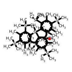 Cc1c([Si](C)(C)C)c(C)c([Si](C)(C)C)c([Si](Cl)(c2c([Si](C)(C)C)c(C)c([Si](C)(C)C)c(C)c2[Si](C)(C)C)c2c([Si](C)(C)C)c(C)c([Si](C)(C)C)c(C)c2[Si](C)(C)C)c1[Si](C)(C)C